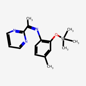 C/C(=N/c1ccc(C)cc1O[Si](C)(C)C)c1ncccn1